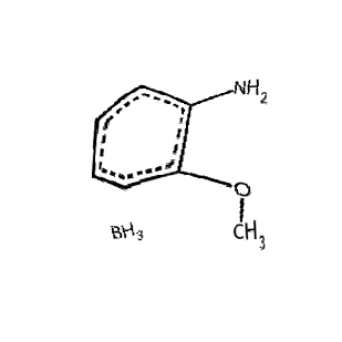 B.COc1ccccc1N